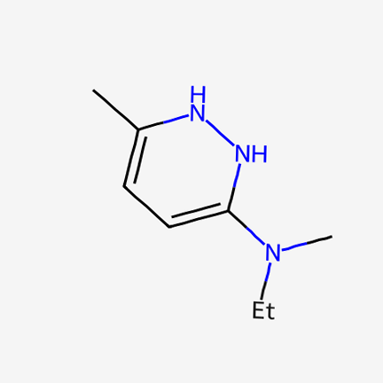 CCN(C)C1=CC=C(C)NN1